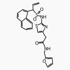 C=CC(c1cccc2ccccc12)S(=O)(=O)Nc1nc(CC(=O)NCc2ccco2)cs1